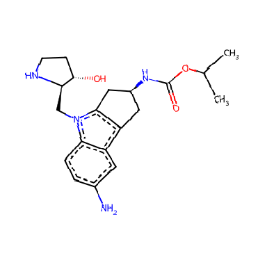 CC(C)OC(=O)N[C@H]1Cc2c(n(C[C@H]3NCC[C@@H]3O)c3ccc(N)cc23)C1